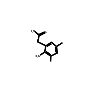 NC(=O)Cc1cc(F)cc(F)c1N